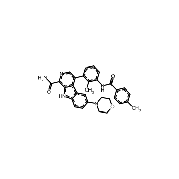 Cc1ccc(C(=O)Nc2cccc(-c3cnc(C(N)=O)c4[nH]c5ccc(N6CCOCC6)cc5c34)c2C)cc1